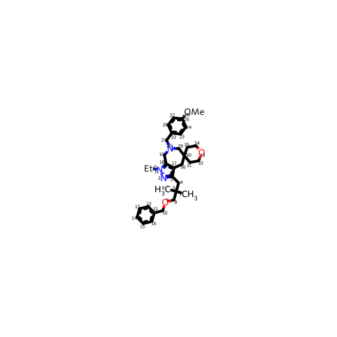 CCn1nc(CC(C)(C)COCc2ccccc2)c2c1CN(Cc1ccc(OC)cc1)CC1(CCOCC1)C2